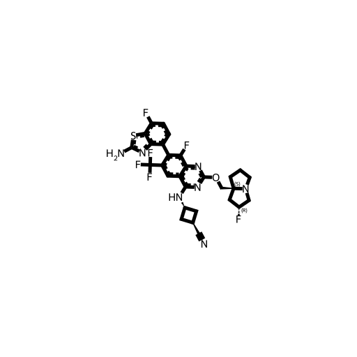 N#C[C@H]1C[C@H](Nc2nc(OC[C@@]34CCCN3C[C@H](F)C4)nc3c(F)c(-c4ccc(F)c5sc(N)nc45)c(C(F)(F)F)cc23)C1